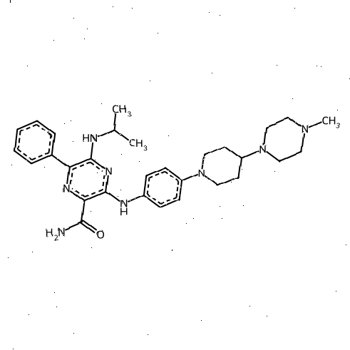 CC(C)Nc1nc(Nc2ccc(N3CCC(N4CCN(C)CC4)CC3)cc2)c(C(N)=O)nc1-c1ccccc1